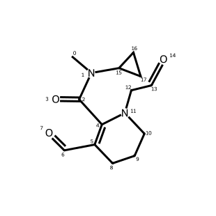 CN(C(=O)C1=C(C=O)CCCN1CC=O)C1CC1